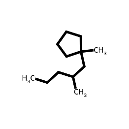 CCCC(C)CC1(C)CCCC1